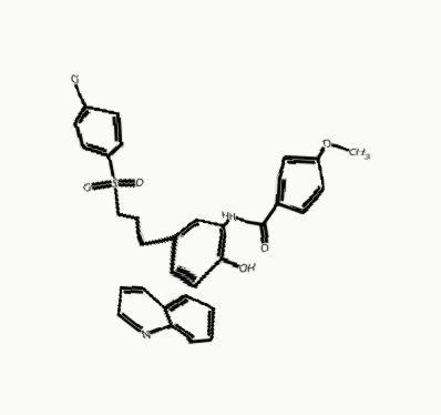 COc1ccc(C(=O)Nc2cc(CCCS(=O)(=O)c3ccc(Cl)cc3)ccc2O)cc1.c1ccc2ncccc2c1